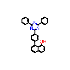 Oc1cccc2cccc(-c3ccc(-c4nc(-c5ccccc5)nc(-c5ccccc5)n4)cc3)c12